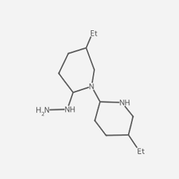 CCC1CCC(N2CC(CC)CCC2NN)NC1